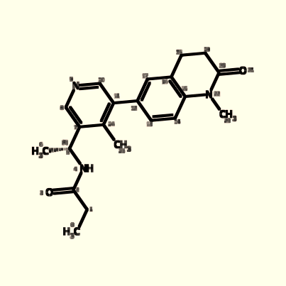 CCC(=O)N[C@H](C)c1cncc(-c2ccc3c(c2)CCC(=O)N3C)c1C